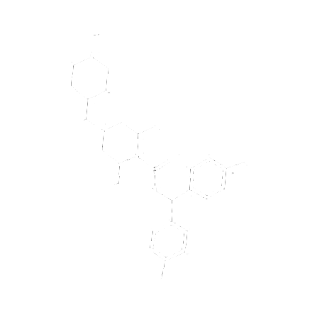 Cc1ccc(C(NC(=O)N2C(C)CN(CC3CCN(C)CC3)CC2C)c2ccc(C)cc2)cc1